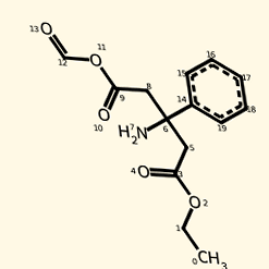 CCOC(=O)CC(N)(CC(=O)OC=O)c1ccccc1